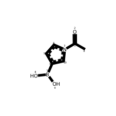 CC(=O)n1ccc(B(O)O)c1